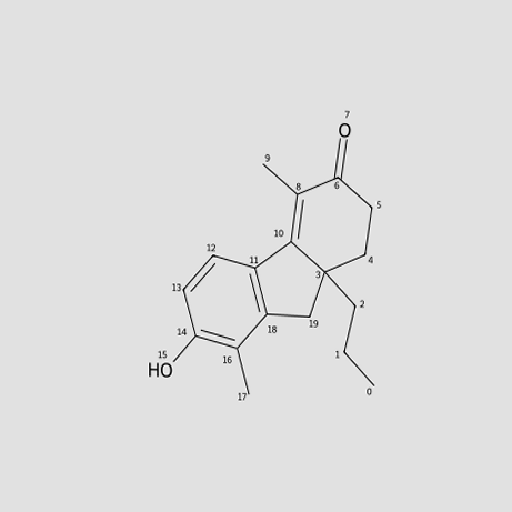 CCCC12CCC(=O)C(C)=C1c1ccc(O)c(C)c1C2